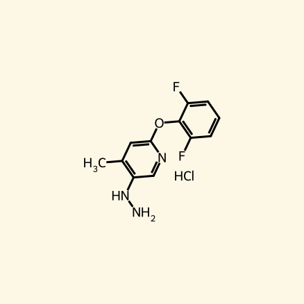 Cc1cc(Oc2c(F)cccc2F)ncc1NN.Cl